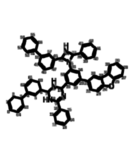 C1=CCC(C2=CC(C3NC(c4ccccc4)=NC(c4cc(-c5ccc6oc7ccccc7c6c5)cc(N5C(c6ccccc6)NC5c5cccc(-c6ccccc6)c5)c4)N3)CC=C2)C=C1